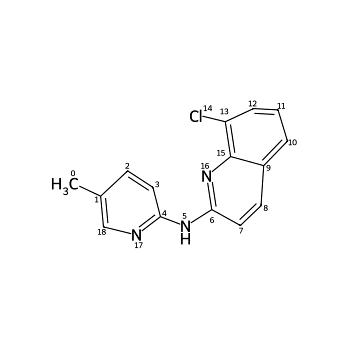 Cc1ccc(Nc2ccc3cccc(Cl)c3n2)nc1